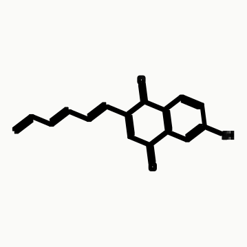 C=C/C=C/C=C/C1=CC(=O)c2cc(S)ccc2C1=O